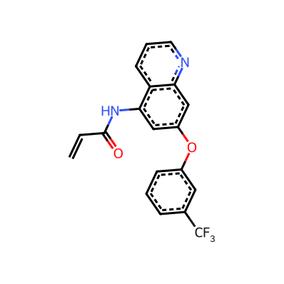 C=CC(=O)Nc1cc(Oc2cccc(C(F)(F)F)c2)cc2ncccc12